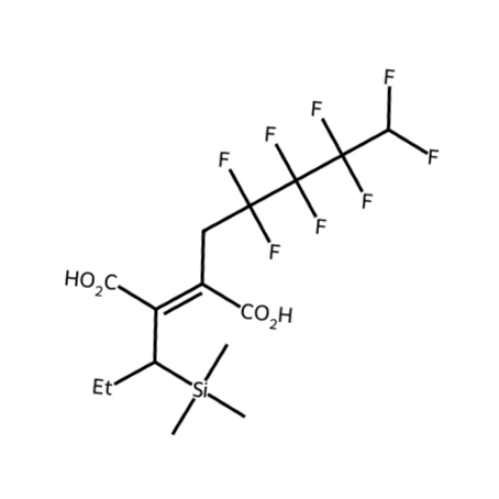 CCC(/C(C(=O)O)=C(/CC(F)(F)C(F)(F)C(F)(F)C(F)F)C(=O)O)[Si](C)(C)C